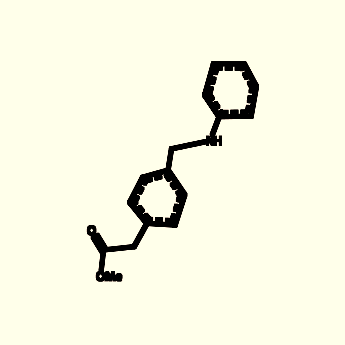 COC(=O)Cc1ccc(CNc2ccccc2)cc1